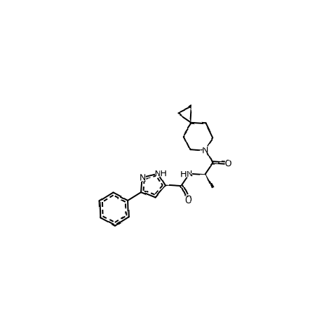 C[C@@H](NC(=O)c1cc(-c2ccccc2)n[nH]1)C(=O)N1CCC2(CC1)CC2